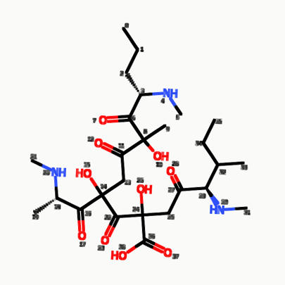 CCC[C@H](NC)C(=O)C(C)(O)C(=O)CC(O)(C(=O)[C@H](C)NC)C(=O)C(O)(CC(=O)[C@H](NC)C(C)CC)C(=O)O